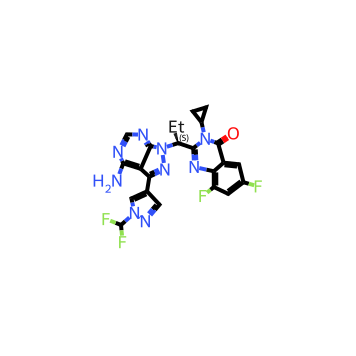 CC[C@@H](c1nc2c(F)cc(F)cc2c(=O)n1C1CC1)n1nc(-c2cnn(C(F)F)c2)c2c(N)ncnc21